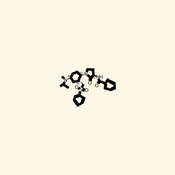 CC(C)N(C)[C@@H]1CC[C@H](N2CC[C@@H](NC(=O)c3ccccc3)C2=O)[C@H](CS(=O)(=O)c2ccccc2)C1